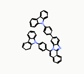 C1=Cc2c(n(-c3ccc(-c4cc5ccccc5c5nc6ccc(-c7ccc(-n8c9ccccc9c9ccccc98)cc7)cc6n45)cc3)c3ccccc23)CC1